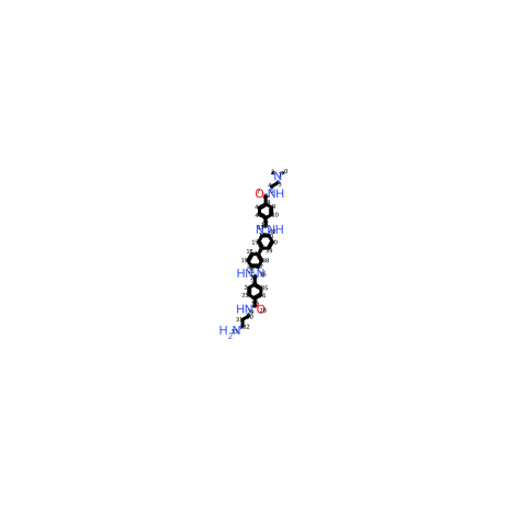 CN(C)CCNC(=O)c1ccc(-c2nc3cc(-c4ccc5[nH]c(-c6ccc(C(=O)NCCCN)cc6)nc5c4)ccc3[nH]2)cc1